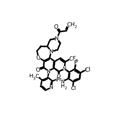 C=CC(=O)N1CCN2c3c(c(=O)n(-c4c(C)ccnc4C(C)C)c4c(=O)n(-c5c(N)c(Cl)cc(Cl)c5F)c(C(F)(F)F)cc34)OCCC2C1